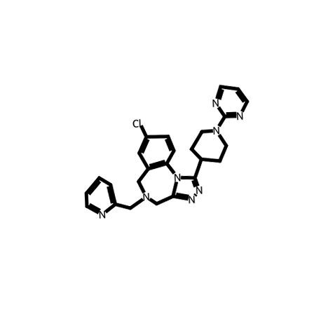 Clc1ccc2c(c1)CN(Cc1ccccn1)Cc1nnc(C3CCN(c4ncccn4)CC3)n1-2